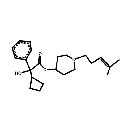 CC(C)=CCCN1CCC(OC(=O)C(O)(c2ccccc2)C2CCC2)CC1